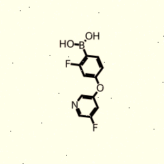 OB(O)c1ccc(Oc2cncc(F)c2)cc1F